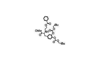 CCC(C)COC(=O)Oc1ccc(C[C@H](NCCOC(=O)c2ccccc2)C(=O)OC)cc1OC(=O)OCC(C)CC